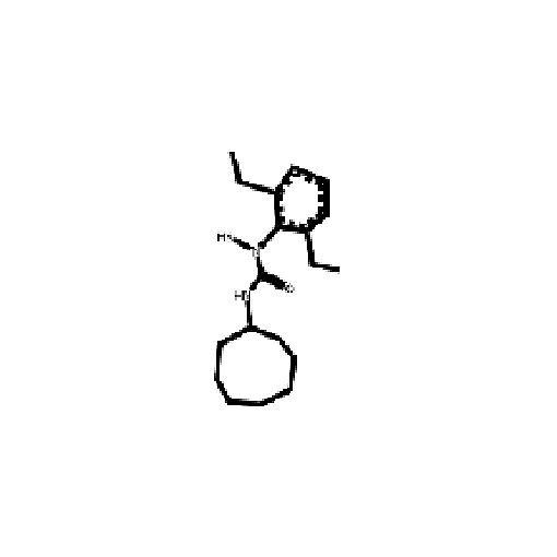 CCc1cccc(CC)c1N(S)C(=O)NC1CCCCCCC1